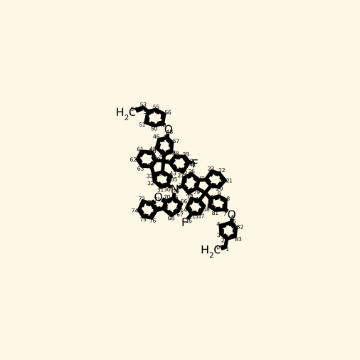 C=Cc1ccc(Oc2ccc(C3(c4ccc(F)cc4)c4ccccc4-c4ccc(N(c5ccc6c(c5)C(c5ccc(F)cc5)(c5ccc(Oc7ccc(C=C)cc7)cc5)c5ccccc5-6)c5cccc6c5oc5ccccc56)cc43)cc2)cc1